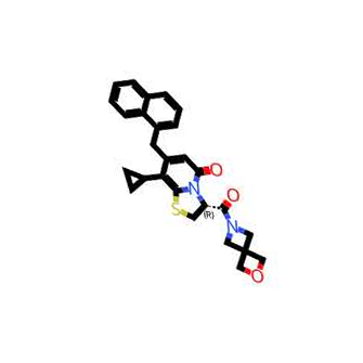 O=C([C@@H]1CSc2c(C3CC3)c(Cc3cccc4ccccc34)cc(=O)n21)N1CC2(COC2)C1